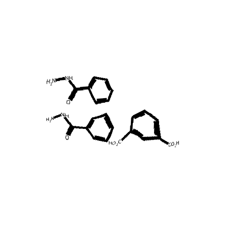 NNC(=O)c1ccccc1.NNC(=O)c1ccccc1.O=C(O)c1cccc(C(=O)O)c1